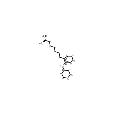 O=C(O)CCCCCCC1C2CCC(O2)C1SC1CCCCC1